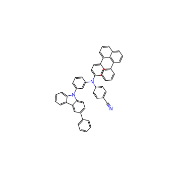 N#Cc1ccc(N(c2ccc(-c3cccc4cccc(-c5ccccc5)c34)cc2)c2cccc(-n3c4ccccc4c4cc(-c5ccccc5)ccc43)c2)cc1